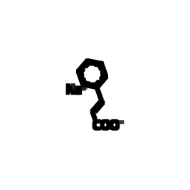 O=C([O-])/C=C/c1ccccc1.[Na+]